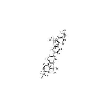 CC(C)(C)c1ccc(-c2ccc(-c3ccc(-c4ccc(C(C)(C)C)cc4C(C)(C)C)cc3)cc2)c(C(C)(C)C)c1